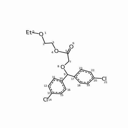 CCOCCOC(=O)COC(c1ccc(Cl)cc1)c1ccc(Cl)cc1